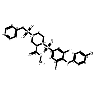 NOC(=O)[C@H]1CN(S(=O)(=O)Cc2ccncc2)CCN1S(=O)(=O)c1cc(F)c(Oc2ccc(Cl)cc2)c(F)c1